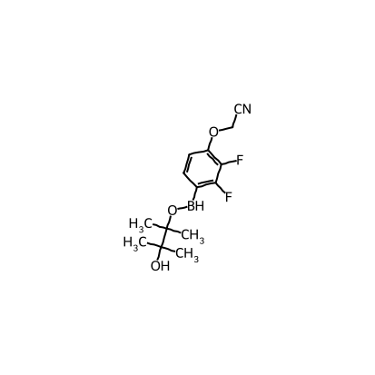 CC(C)(O)C(C)(C)OBc1ccc(OCC#N)c(F)c1F